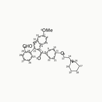 COc1ccc2c(C(=O)c3ccc(OCCN4CCCCC4)cc3)c(-c3ccccc3C=O)sc2c1